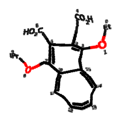 CCOc1c(C(=O)O)c(C(=O)O)c(OC(C)C)c2ccccc12